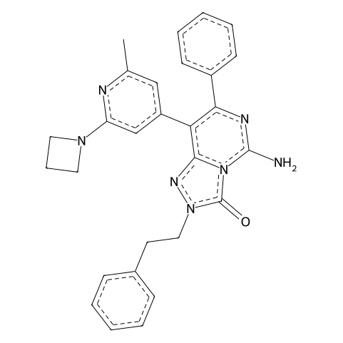 Cc1cc(-c2c(-c3ccccc3)nc(N)n3c(=O)n(CCc4ccccc4)nc23)cc(N2CCC2)n1